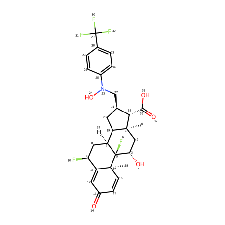 C[C@]12C[C@H](O)[C@@]3(F)[C@@H](C[C@H](F)C4=CC(=O)C=C[C@@]43C)C1C[C@@H](CN(O)c1ccc(C(F)(F)F)cc1)[C@@H]2C(=O)O